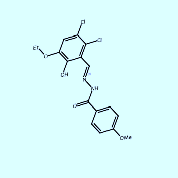 CCOc1cc(Cl)c(Cl)c(/C=N/NC(=O)c2ccc(OC)cc2)c1O